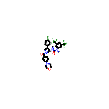 CN(C(=O)N(C)[C@@H]1CN(C(=O)c2ccc(N3CCOCC3)cc2)C[C@H]1c1ccc(F)cc1)c1cc(C(F)(F)F)cc(C(F)(F)F)c1